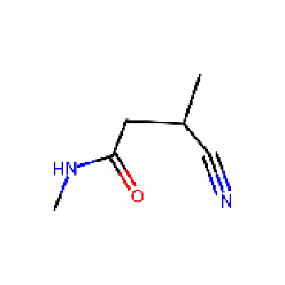 CNC(=O)CC(C)C#N